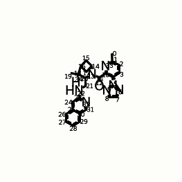 Cc1ccc(-n2nccn2)c(C(=O)N2C3CC(C3)[C@@H](C)C2CNc2cc3ccccc3cn2)n1